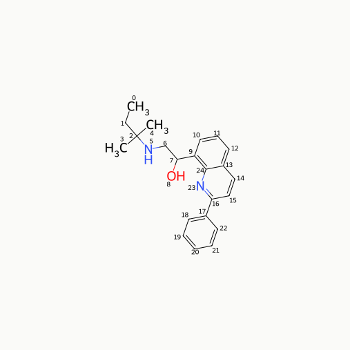 CCC(C)(C)NCC(O)c1cccc2ccc(-c3ccccc3)nc12